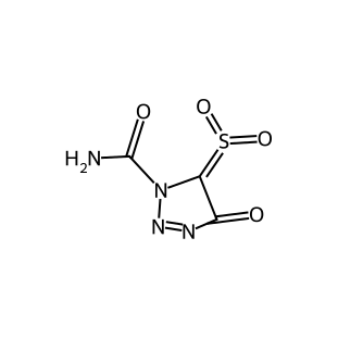 NC(=O)N1N=NC(=O)C1=S(=O)=O